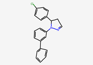 Clc1ccc(C2CC=NN2c2cccc(-c3ccccc3)c2)cc1